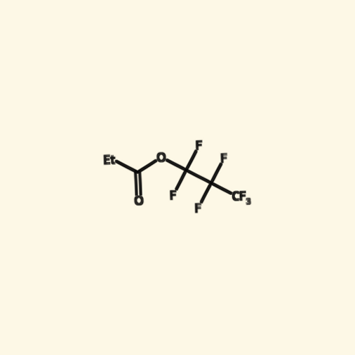 CCC(=O)OC(F)(F)C(F)(F)C(F)(F)F